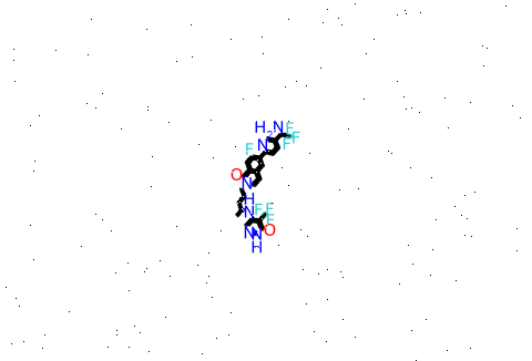 CC(CCCn1ccc2cc(-c3ccc(C(N)C(F)(F)F)cn3)c(F)cc2c1=O)Nc1cn[nH]c(=O)c1C(F)(F)F